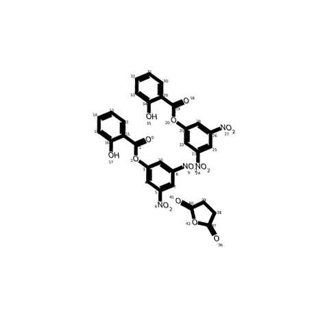 O=C(Oc1cc([N+](=O)[O-])cc([N+](=O)[O-])c1)c1ccccc1O.O=C(Oc1cc([N+](=O)[O-])cc([N+](=O)[O-])c1)c1ccccc1O.O=C1CCC(=O)O1